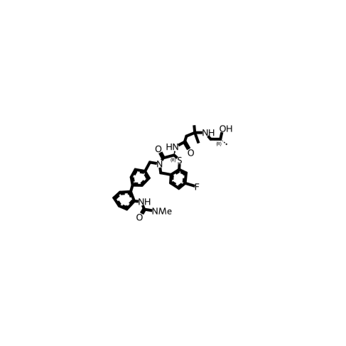 CNC(=O)Nc1ccccc1-c1ccc(CN2Cc3ccc(F)cc3S[C@@H](NC(=O)CC(C)(C)NC[C@@H](C)O)C2=O)cc1